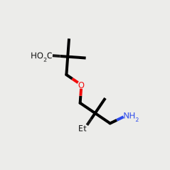 CCC(C)(CN)COCC(C)(C)C(=O)O